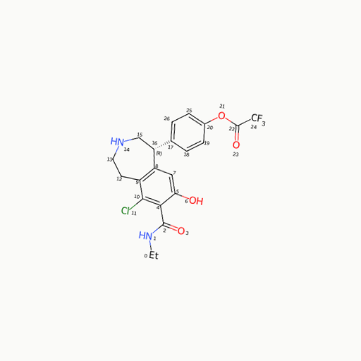 CCNC(=O)c1c(O)cc2c(c1Cl)CCNC[C@@H]2c1ccc(OC(=O)C(F)(F)F)cc1